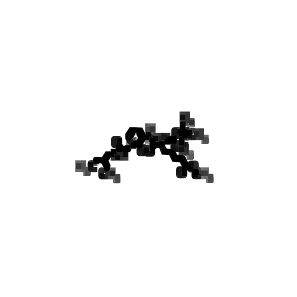 CCC(CC)CNC(=O)Cn1cccc(NC(=O)[C@H](CCC=CC(=O)OC)NC(=O)OC(C)(C)C)c1=O